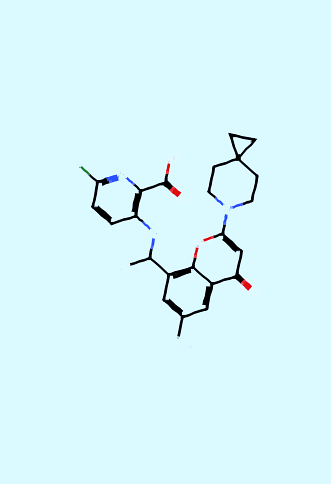 Cc1cc(C(C)Nc2ccc(Cl)nc2C(=O)O)c2oc(N3CCC4(CC3)CC4)cc(=O)c2c1